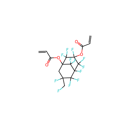 C=CC(=O)OC1(F)C(F)(F)C2(OC(=O)C=C)CC(F)(CF)C(F)(F)C(F)(C1(F)F)C2(F)F